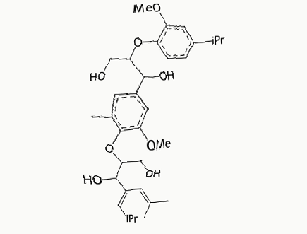 COc1cc(C(C)C)ccc1OC(CO)C(O)c1cc(C)c(OC(CO)C(O)/C(C=C(C)C)=C/C(C)C)c(OC)c1